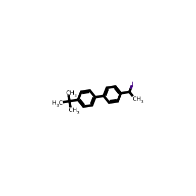 CC(I)c1ccc(-c2ccc(C(C)(C)C)cc2)cc1